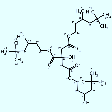 CC(CCOC(=O)CC(O)(CC(=O)OCCC(C)CC(C)(C)C)C(=O)OCCC(C)CC(C)(C)C)CC(C)(C)C